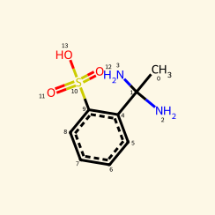 CC(N)(N)c1ccccc1S(=O)(=O)O